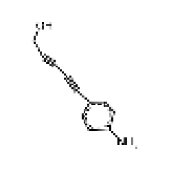 Nc1ccc(C#CC#CCO)cc1